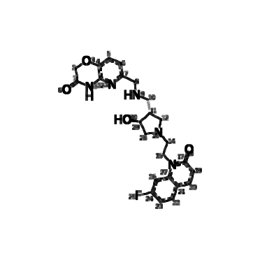 O=C1COc2ccc(CNC[C@@H]3CN(CCn4c(=O)ccc5ccc(F)cc54)C[C@H]3O)nc2N1